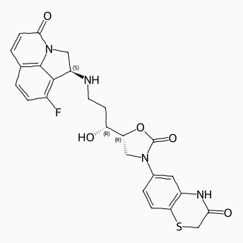 O=C1CSc2ccc(N3C[C@H]([C@H](O)CCN[C@@H]4Cn5c(=O)ccc6ccc(F)c4c65)OC3=O)cc2N1